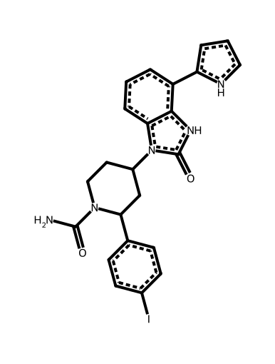 NC(=O)N1CCC(n2c(=O)[nH]c3c(-c4ccc[nH]4)cccc32)CC1c1ccc(I)cc1